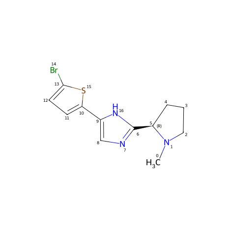 CN1CCC[C@@H]1c1ncc(-c2ccc(Br)s2)[nH]1